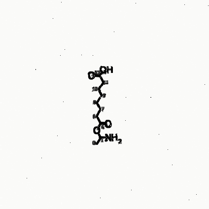 CC(N)OC(=O)CCCCCCC(=O)O